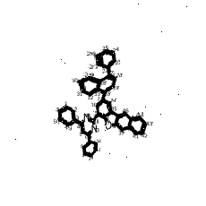 c1ccc(-c2cc(-c3ccccc3)nc(-c3cc(-c4ccc(-c5ccccc5)c5ccccc45)cc4c3oc3cc5ccccc5cc34)n2)cc1